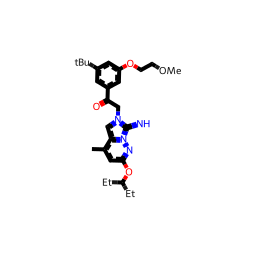 CCC(CC)Oc1cc(C)c2cn(CC(=O)c3cc(OCCOC)cc(C(C)(C)C)c3)c(=N)n2n1